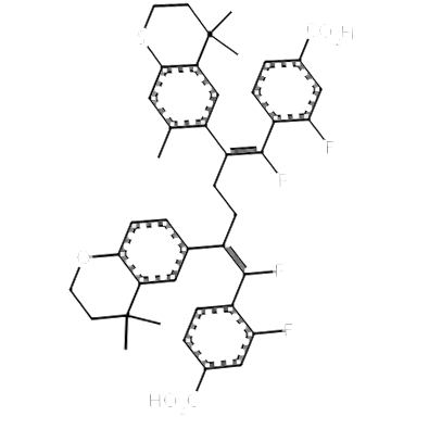 Cc1cc2c(cc1/C(CC/C(=C(\F)c1ccc(C(=O)O)cc1F)c1ccc3c(c1)C(C)(C)CCO3)=C(/F)c1ccc(C(=O)O)cc1F)C(C)(C)CCS2